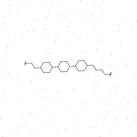 FCCCCC1CCC(C2CCC(C3CCC(CCF)CC3)CC2)CC1